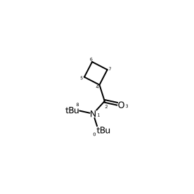 CC(C)(C)N(C(=O)C1CCC1)C(C)(C)C